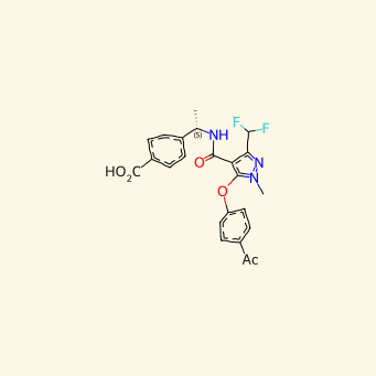 CC(=O)c1ccc(Oc2c(C(=O)N[C@@H](C)c3ccc(C(=O)O)cc3)c(C(F)F)nn2C)cc1